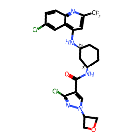 O=C(N[C@@H]1CCC[C@H](Nc2cc(C(F)(F)F)nc3ccc(Cl)cc23)C1)c1cn(C2COC2)nc1Cl